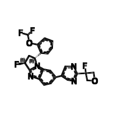 FC(F)Oc1ccccc1[C@H]1C[C@H](F)c2nc3ccc(-c4cnc(C5(F)COC5)nc4)cc3n21